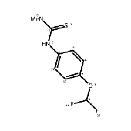 CNC(=S)Nc1ccc(OC(F)F)cc1